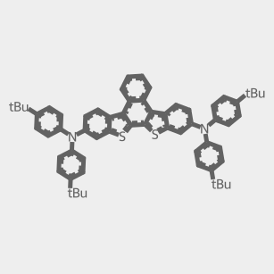 CC(C)(C)c1ccc(N(c2ccc(C(C)(C)C)cc2)c2ccc3c(c2)sc2c4sc5cc(N(c6ccc(C(C)(C)C)cc6)c6ccc(C(C)(C)C)cc6)ccc5c4c4ccccc4c32)cc1